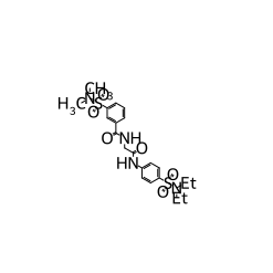 CCN(CC)S(=O)(=O)c1ccc(NC(=O)CNC(=O)c2cccc(S(=O)(=O)N(C)C)c2)cc1